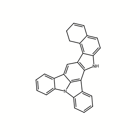 C1=Cc2ccc3[nH]c4c(cc5c6ccccc6n6c7ccccc7c4c56)c3c2CC1